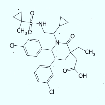 CCC1(CC(=O)O)CC(c2cccc(Cl)c2)C(c2ccc(Cl)cc2)N(C(CNS(=O)(=O)C2(C)CC2)C2CC2)C1=O